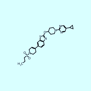 CCCS(=O)(=O)N1CC=C(c2ccc3nc(OC4CCN(c5ncc(C6CC6)cn5)CC4)sc3c2)CC1